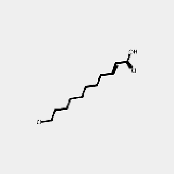 O=C(O)C=CCCCCCCCCCl